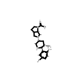 CCC(=O)N1CCC2CN([C@H]3CO[C@H](c4cc(F)ccc4F)[C@@H](N)C3)CC21